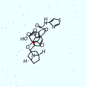 O=CO.O=S(=O)(Nc1cscn1)c1ccc(OC2C[C@@H]3CC[C@@H](C2)N3Cc2ccc(F)c(Cl)c2)c(Cl)c1